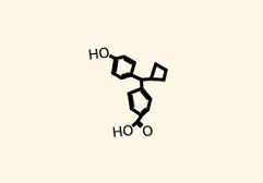 O=C(O)c1ccc(C(c2ccc(O)cc2)C2CCC2)cc1